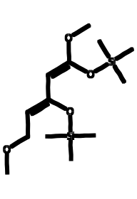 COCC=C(C=C(OC)O[Si](C)(C)C)O[Si](C)(C)C